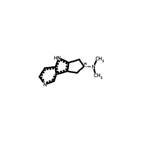 CN(C)[C@H]1Cc2[nH]c3ccncc3c2C1